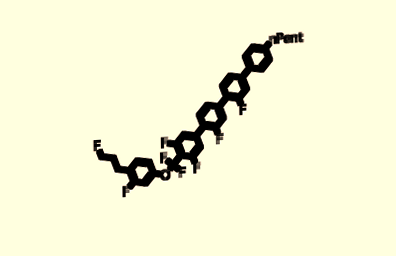 CCCCCc1ccc(-c2ccc(-c3ccc(-c4cc(F)c(C(F)(F)Oc5ccc(CCCF)c(F)c5)c(F)c4)c(F)c3)c(F)c2)cc1